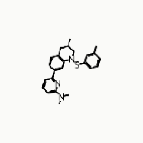 Cc1cccc(SN2C[C@H](C)Cc3ccc(-c4cccc(N(C)C)n4)cc32)c1